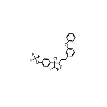 FC(F)C(Cl)(c1ccc(OC(F)(F)F)cc1)C(F)CCc1cccc(Oc2ccccc2)c1